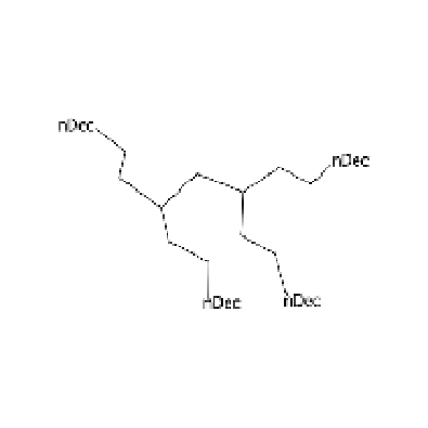 CCCCCCCCCCCCC(CCCCCCCCCCCC)CC(CCCCCCCCCCCC)CCCCCCCCCCCC